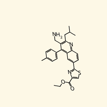 CCOC(=O)c1csc(-c2ccc3nc(CC(C)C)c(CN)c(-c4ccc(C)cc4)c3c2)n1